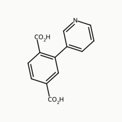 O=C(O)c1ccc(C(=O)O)c(-c2cccnc2)c1